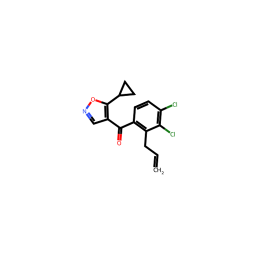 C=CCc1c(C(=O)c2cnoc2C2CC2)ccc(Cl)c1Cl